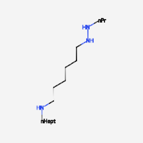 CCCCCCCNCCCCCCNNCCC